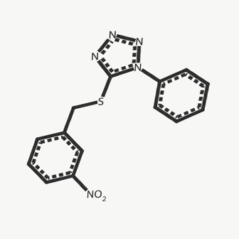 O=[N+]([O-])c1cccc(CSc2nnnn2-c2ccccc2)c1